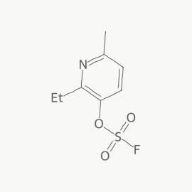 CCc1nc(C)ccc1OS(=O)(=O)F